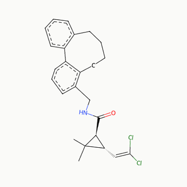 CC1(C)[C@@H](C=C(Cl)Cl)[C@@H]1C(=O)NCc1cccc2c1CCCCc1ccccc1-2